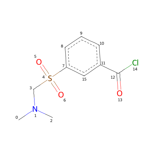 CN(C)CS(=O)(=O)c1cccc(C(=O)Cl)c1